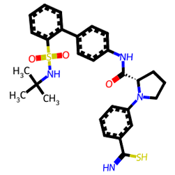 CC(C)(C)NS(=O)(=O)c1ccccc1-c1ccc(NC(=O)[C@@H]2CCCN2c2cccc(C(=N)S)c2)cc1